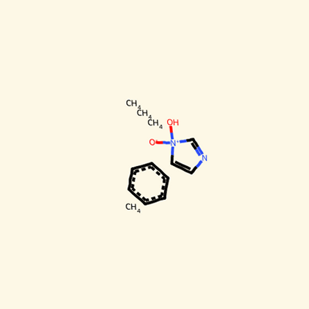 C.C.C.C.[O-][N+]1(O)C=CN=C1.c1ccccc1